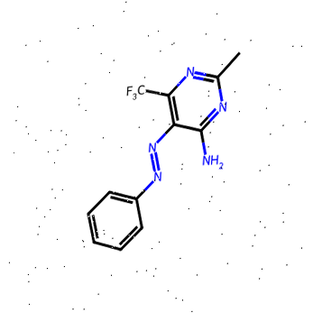 Cc1nc(N)c(/N=N/c2ccccc2)c(C(F)(F)F)n1